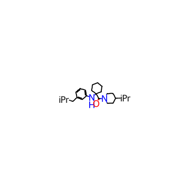 CC(C)Cc1cccc(NC2(C(=O)N3CCC(C(C)C)CC3)CCCCC2)c1